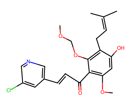 COCOc1c(CC=C(C)C)c(O)cc(OC)c1C(=O)/C=C/c1cncc(Cl)c1